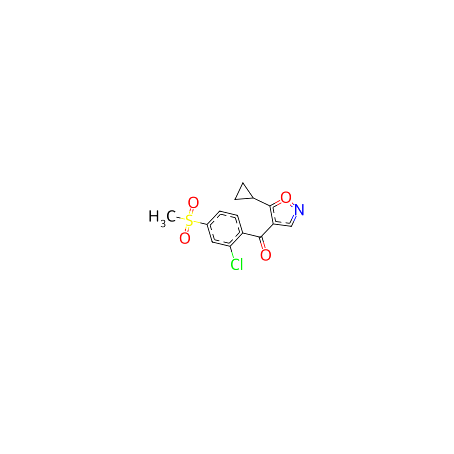 CS(=O)(=O)c1ccc(C(=O)c2cnoc2C2CC2)c(Cl)c1